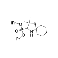 CC(C)OP(=O)(OC(C)C)C1NC2(CCCCC2)SC1(C)C